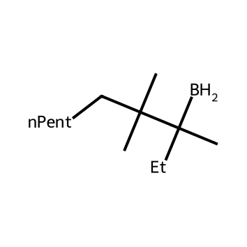 BC(C)(CC)C(C)(C)CCCCCC